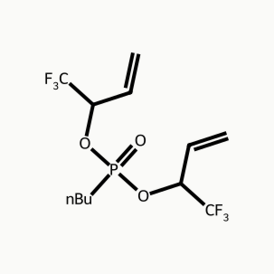 C=CC(OP(=O)(CCCC)OC(C=C)C(F)(F)F)C(F)(F)F